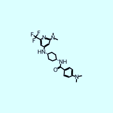 CN(C)c1ccc(C(=O)N[C@H]2CC[C@@H](Nc3cc(N(C)C)nc(C(F)(F)F)c3)CC2)cc1